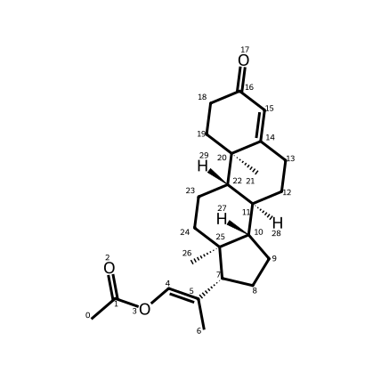 CC(=O)OC=C(C)[C@H]1CC[C@H]2[C@@H]3CCC4=CC(=O)CC[C@]4(C)[C@H]3CC[C@]12C